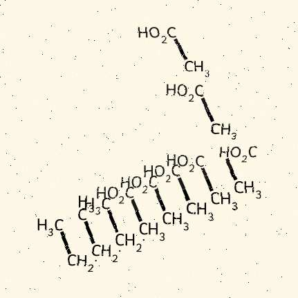 CC(=O)O.CC(=O)O.CC(=O)O.CC(=O)O.CC(=O)O.CC(=O)O.CC(=O)O.[CH2]C.[CH2]C.[CH2]C